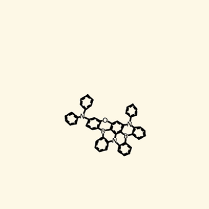 c1ccc(N(c2ccccc2)c2ccc3c(c2)Oc2cc4c5c6c2B3c2ccccc2N6c2ccccc2B5c2ccccc2N4c2ccccc2)cc1